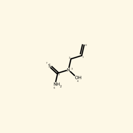 C=CCN(O)C(N)=S